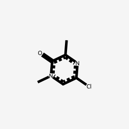 Cc1nc(Cl)cn(C)c1=O